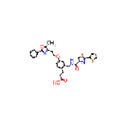 Cc1oc(-c2ccccc2)nc1CCOc1ccc(CCC(=O)O)c(CNC(=O)c2csc(-c3cccs3)n2)c1